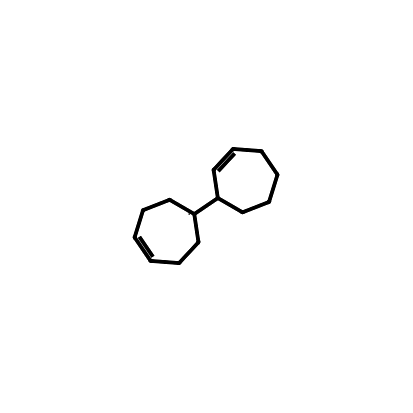 C1=CC([C]2CCC=CCC2)CCCC1